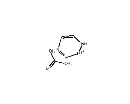 C1=CNNN=N1.CC(=O)O